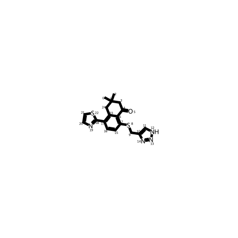 CC1(C)CC(=O)c2c(SCc3c[nH]nn3)ccc(-c3nccs3)c2C1